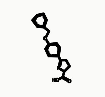 O=C(O)C1CCC(c2ccc(OCc3ccccc3)cc2)=N1